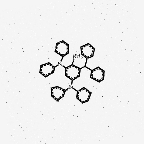 Nc1c(C(c2ccccc2)c2ccccc2)cc(N(c2ccccc2)c2ccccc2)cc1N(c1ccccc1)c1ccccc1